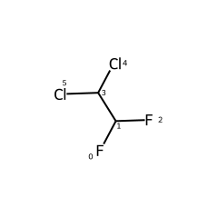 FC(F)C(Cl)Cl